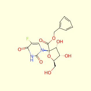 O=C(OCc1ccccc1)[C@@]1(n2cc(F)c(=O)[nH]c2=O)O[C@H](CO)[C@@H](O)[C@H]1O